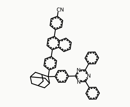 N#Cc1ccc(-c2ccc(-c3ccc(C4(c5ccc(-c6nc(-c7ccccc7)nc(-c7ccccc7)n6)cc5)C5CC6CC(C5)CC4C6)cc3)c3ccccc23)cc1